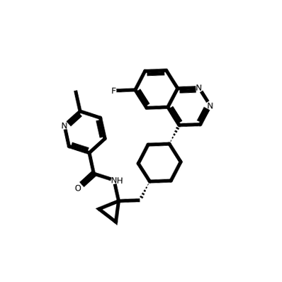 Cc1ccc(C(=O)NC2(C[C@H]3CC[C@@H](c4cnnc5ccc(F)cc54)CC3)CC2)cn1